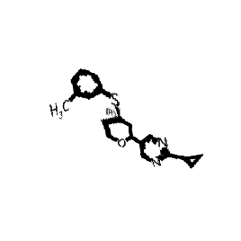 Cc1cccc(S[C@@H]2CCOC(c3cnc(C4CC4)nc3)C2)c1